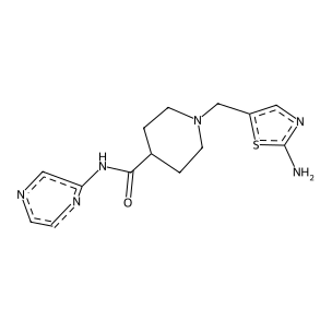 Nc1ncc(CN2CCC(C(=O)Nc3cnccn3)CC2)s1